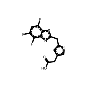 O=C(O)Cc1csc(Cc2nc3c(F)c(F)cc(F)c3s2)c1